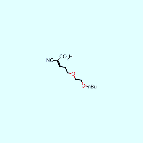 CCCCOCCOCCC=C(C#N)C(=O)O